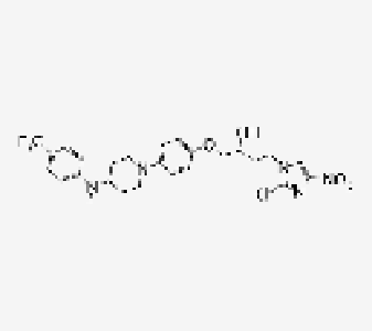 CN(c1ccc(C(F)(F)F)cc1)C1CCN(c2ccc(OCC(O)CCn3cc([N+](=O)[O-])nc3Cl)cc2)CC1